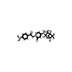 C[C@H]1[C@H]2C[C@H](C[C@H]1Nc1cnn(CC(=O)c3ccc(N(C)C)cc3)c(=O)c1)C2(C)C